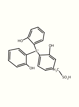 CS(=O)(=O)O.Oc1ccccc1[S+](c1ccccc1O)c1ccccc1O